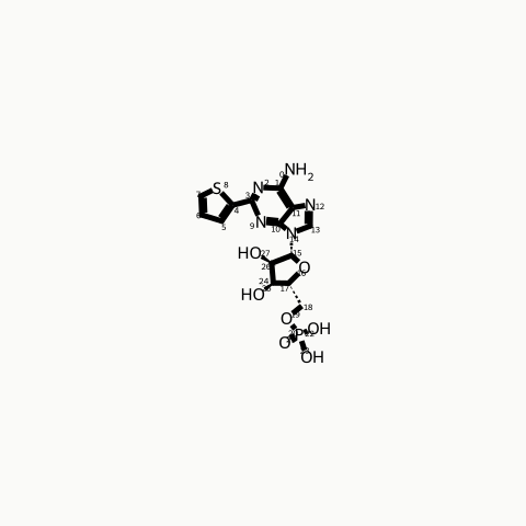 Nc1nc(-c2cccs2)nc2c1ncn2[C@@H]1O[C@H](COP(=O)(O)O)[C@@H](O)[C@H]1O